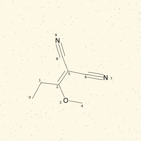 CCC(OC)=C(C#N)C#N